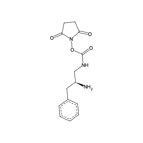 N[C@H](CNC(=O)ON1C(=O)CCC1=O)Cc1ccccc1